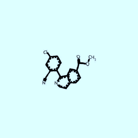 COC(=O)c1ccc2ccnc(-c3ccc(Cl)cc3C#N)c2c1